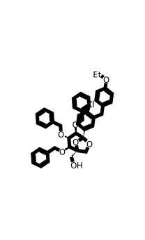 CCOc1ccc(Cc2cc([C@]34OC[C@](CO)(O3)[C@@H](OCc3ccccc3)[C@H](OCc3ccccc3)[C@H]4OCc3ccccc3)ccc2Cl)cc1